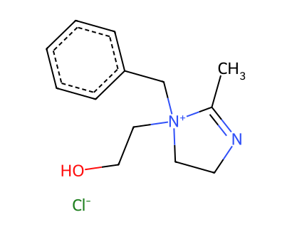 CC1=NCC[N+]1(CCO)Cc1ccccc1.[Cl-]